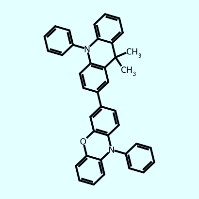 CC1(C)c2ccccc2N(c2ccccc2)c2ccc(-c3ccc4c(c3)Oc3ccccc3N4c3ccccc3)cc21